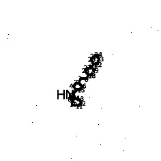 C(=Cc1ccc(C2NCc3ccccc32)cc1)c1ccc(-c2ccccc2)cc1